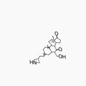 C[C@]12CC[C@H](CCC3CNC3)CC1C(CO)C(=O)C1C2CC[C@]2(C)C(=O)CCC12